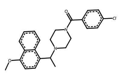 COc1ccc(C(C)N2CCN(C(=O)c3ccc(Cl)cc3)CC2)c2ccccc12